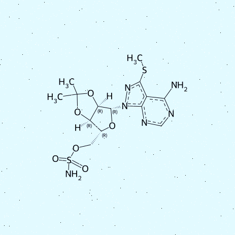 CSc1nn([C@@H]2O[C@H](COS(N)(=O)=O)[C@H]3OC(C)(C)O[C@H]32)c2ncnc(N)c12